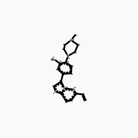 C=Cc1ccc2ncc(-c3ccc(N4CCN(C)CC4)c(C(C)(C)C)c3)n2n1